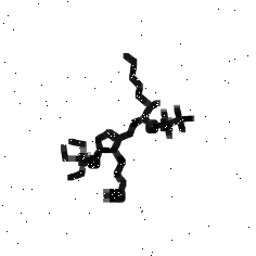 CCCCCC(C)[C@H](CCC1=CC[C@H](O[Si](CC)(CC)CC)[C@@H]1CCCO)O[Si](C)(C)C(C)(C)C